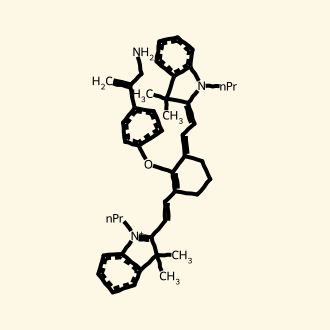 C=C(CN)c1ccc(OC2=C(/C=C/C3=[N+](CCC)c4ccccc4C3(C)C)CCC/C2=C\C=C2\N(CCC)c3ccccc3C2(C)C)cc1